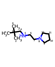 CC(C)(C)CNCCN1CCCC1